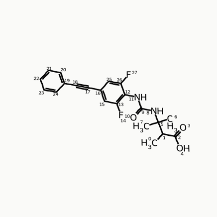 CC(C(=O)O)C(C)(C)NC(=O)Nc1c(F)cc(C#Cc2ccccc2)cc1F